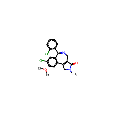 CCOCC.CN1CC2=C(CN=C(c3ccccc3Cl)c3cc(Cl)ccc32)C1=O